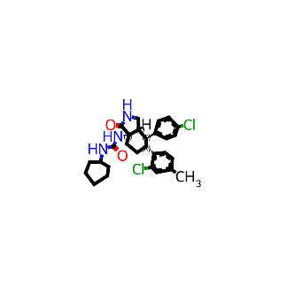 Cc1ccc([C@@H]2CC[C@@]3(NC(=O)NC4CCCCC4)C(=O)NC[C@H]3[C@H]2c2ccc(Cl)cc2)c(Cl)c1